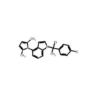 CCC(C)(c1ccc(Cl)cc1)n1ccc2c(-n3c(C)ccc3C)cccc21